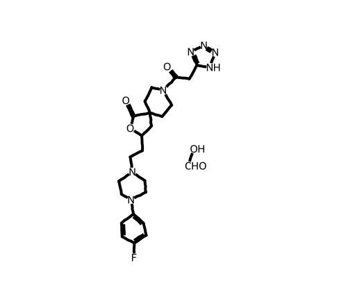 O=C(Cc1nnn[nH]1)N1CCC2(CC1)CC(CCN1CCN(c3ccc(F)cc3)CC1)OC2=O.O=CO